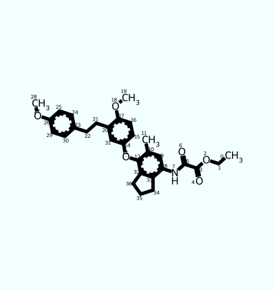 CCOC(=O)C(=O)Nc1cc(C)c(Oc2ccc(OC)c(CCc3ccc(OC)cc3)c2)c2c1CCC2